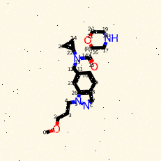 COCCCn1ncc2ccc(CN(C(=O)[C@H]3CNCCO3)C3CC3)cc21